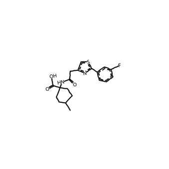 CC1CCC(NC(=O)Cc2csc(-c3cccc(F)c3)n2)(C(=O)O)CC1